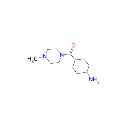 CN1CCN(C(=O)C2CCC(N)CC2)CC1